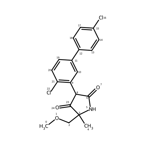 COCC1(C)NC(=O)C(c2cc(-c3ccc(Cl)cc3)ccc2Cl)C1=O